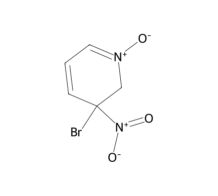 O=[N+]([O-])C1(Br)C=CC=[N+]([O-])C1